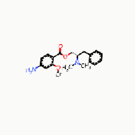 CCOc1cc(N)ccc1C(=O)OC[C@H](Cc1ccccc1)N(C)C